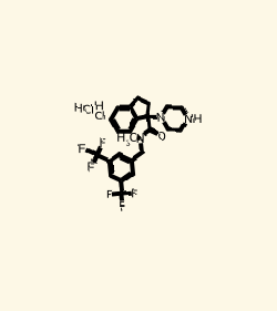 CN(Cc1cc(C(F)(F)F)cc(C(F)(F)F)c1)C(=O)C1(N2CCNCC2)CCc2ccccc21.Cl.Cl